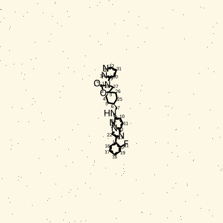 O=C1O[C@]2(CC[C@H](CNc3ccc4nc(-c5ccccc5F)cn4n3)CC2)CN1c1cccnn1